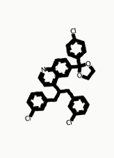 Clc1ccc(C2(c3ccc4nccc(C(Cc5cccc(Cl)c5)Cc5cccc(Cl)c5)c4c3)OCCO2)cc1